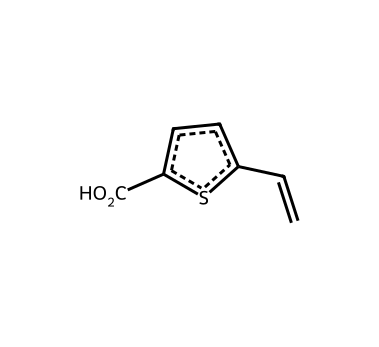 C=Cc1ccc(C(=O)O)s1